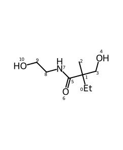 CCC(C)(CO)C(=O)NCCO